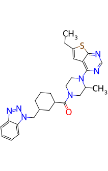 CCc1cc2c(N3CCN(C(=O)C4CCCC(Cn5nnc6ccccc65)C4)CC3C)ncnc2s1